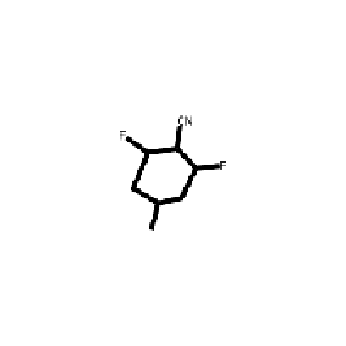 CC1CC(F)C(C#N)C(F)C1